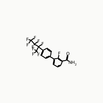 NC(=O)c1cccc(-c2ccc(C(F)(C(F)(F)F)C(F)(F)C(F)(F)F)cc2)c1F